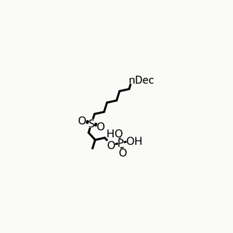 CCCCCCCCCCCCCCCCS(=O)(=O)CC(C)COP(=O)(O)O